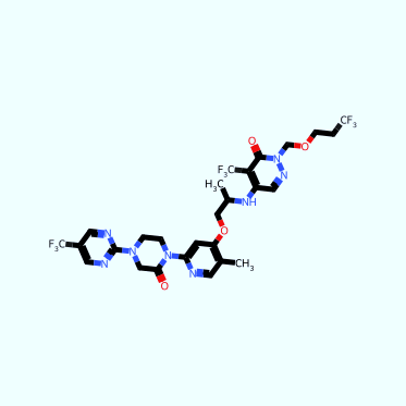 Cc1cnc(N2CCN(c3ncc(C(F)(F)F)cn3)CC2=O)cc1OCC(C)Nc1cnn(COCCC(F)(F)F)c(=O)c1C(F)(F)F